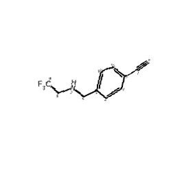 C#Cc1ccc(CNCC(F)(F)F)cc1